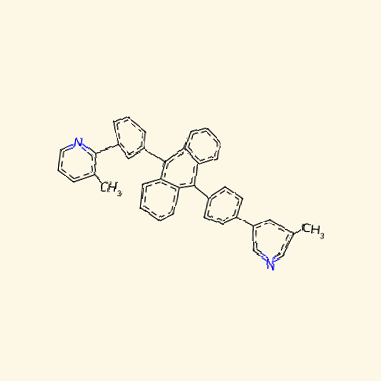 Cc1cncc(-c2ccc(-c3c4ccccc4c(-c4cccc(-c5ncccc5C)c4)c4ccccc34)cc2)c1